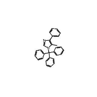 Cc1c(-c2ccccc2)ncn1C(c1ccccc1)(c1ccccc1)c1ccccc1